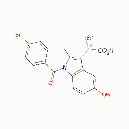 CCC(C)[C@H](C(=O)O)c1c(C)n(C(=O)c2ccc(Br)cc2)c2ccc(O)cc12